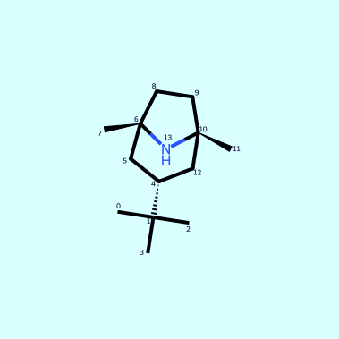 CC(C)(C)[C@@H]1C[C@]2(C)CC[C@](C)(C1)N2